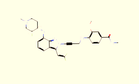 CNC(=O)c1ccc(NCC#Cn2nc3c(N[C@@H]4CCN(C)C[C@@H]4F)cccc3c2C=C(F)F)c(OC)c1